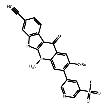 C#Cc1ccc2c(c1)[nH]c1c2c(=O)c2cc(OCC(C)C)c(-c3cncc(S(=O)(=O)F)c3)cc2n1C